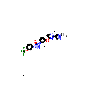 Cn1cc(-c2nccc(Oc3cccc(NC(=O)Nc4cccc(OC(F)(F)F)c4)c3)n2)cn1